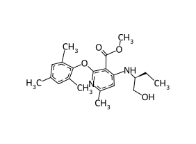 CC[C@@H](CO)Nc1cc(C)nc(Oc2c(C)cc(C)cc2C)c1C(=O)OC